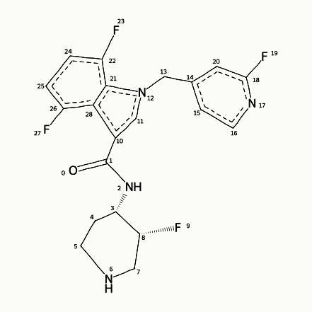 O=C(N[C@H]1CCNC[C@H]1F)c1cn(Cc2ccnc(F)c2)c2c(F)ccc(F)c12